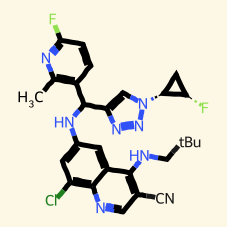 Cc1nc(F)ccc1C(Nc1cc(Cl)c2ncc(C#N)c(NCC(C)(C)C)c2c1)c1cn([C@@H]2C[C@@H]2F)nn1